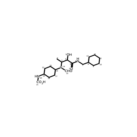 CC(C(O)C(=O)NCC1CCCCC1)N(C=O)C1CCC(NC(=O)O)CC1